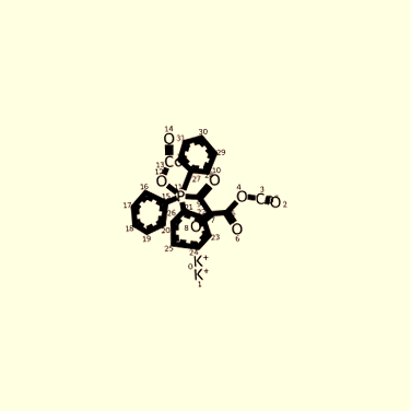 [K+].[K+].[O]=[Co-][O]C(=O)C(=O)C(=O)P([O][Co-]=[O])(c1ccccc1)(c1ccccc1)c1ccccc1